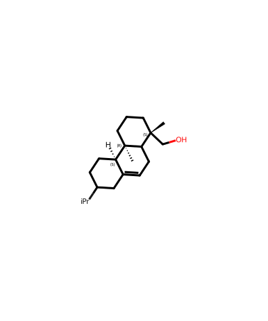 CC(C)C1CC[C@@H]2C(=CCC3[C@@](C)(CO)CCC[C@@]32C)C1